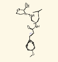 COc1ccc(/C=C/C(=O)N[C@@H](CN[C@H]2CCOC2O)CC(C)C)cc1